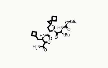 CC(C)(C)OC(=O)N[C@H](C(=O)N1C[C@]2(C[C@H]1C(=O)NC(CC1CCC1)C(=O)C(N)=O)CC21CCC1)C(C)(C)C